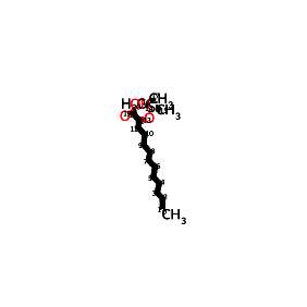 CCCCCCCCCCCCC(O[Si](C)(C)C)C(=O)O